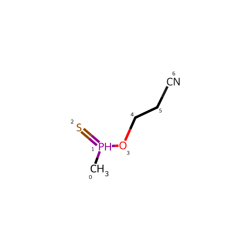 C[PH](=S)OCCC#N